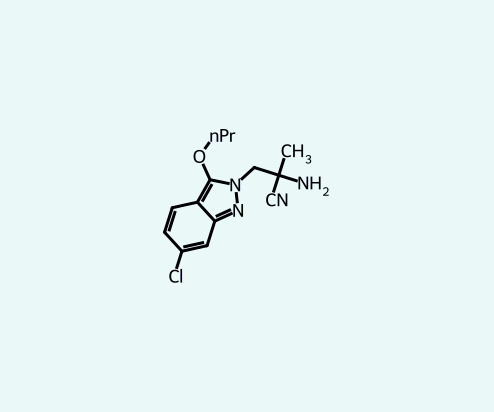 CCCOc1c2ccc(Cl)cc2nn1CC(C)(N)C#N